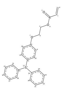 C=CC(=O)OCCOc1ccc([S+](c2ccccc2)c2ccccc2)cc1